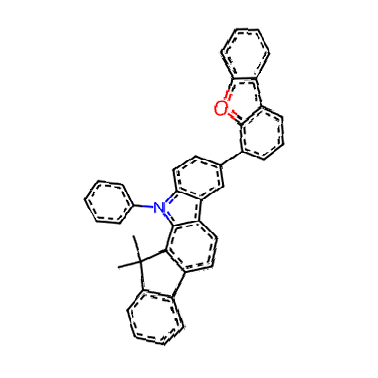 CC1(C)c2ccccc2-c2ccc3c4cc(-c5cccc6c5oc5ccccc56)ccc4n(-c4ccccc4)c3c21